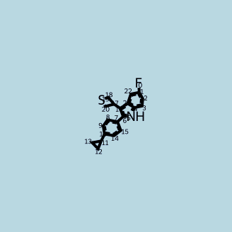 Fc1ccc2[nH]c(-c3ccc(C4CC4)cc3)c(C3CSC3)c2c1